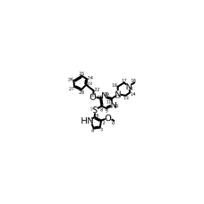 COc1cc[nH]c1Sc1cnc(N2CCN(C)CC2)nc1OCc1ccccc1